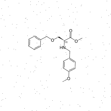 COC(=O)[C@H](COCc1ccccc1)NCc1ccc(OC)cc1